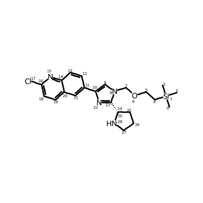 C[Si](C)(C)CCOCn1cc(-c2ccc3nc(Cl)ccc3c2)nc1[C@@H]1CCCN1